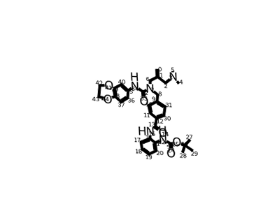 C=C(CN(C)C)CN(Cc1ccc(C(=O)Nc2ccccc2NC(=O)OC(C)(C)C)cc1)C(=O)Nc1ccc2c(c1)OCCO2